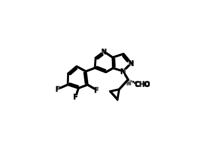 O=C[C@H](C1CC1)n1ncc2ncc(-c3ccc(F)c(F)c3F)cc21